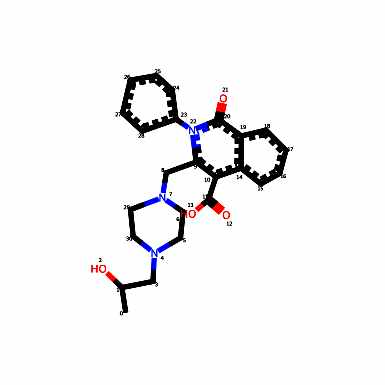 CC(O)CN1CCN(Cc2c(C(=O)O)c3ccccc3c(=O)n2-c2ccccc2)CC1